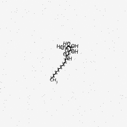 CCCCCCCCCCCCCCNC(=O)CC1O[C@H](CO)[C@@H](O)[C@H](O)[C@@H]1O